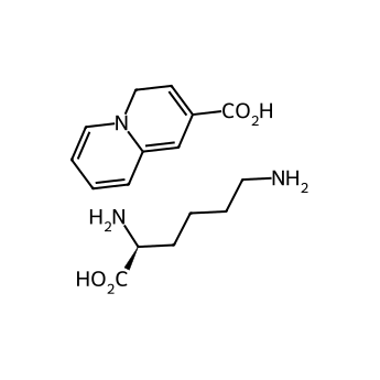 NCCCC[C@H](N)C(=O)O.O=C(O)C1=CCN2C=CC=CC2=C1